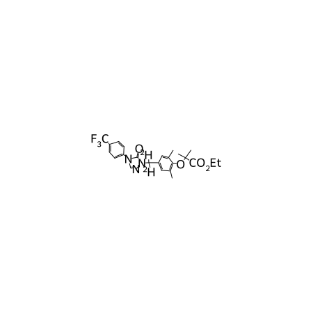 [2H]C([2H])(c1cc(C)c(OC(C)(C)C(=O)OCC)c(C)c1)n1ncn(-c2ccc(C(F)(F)F)cc2)c1=O